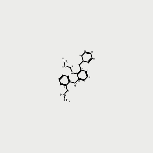 CNCc1ccccc1Pc1cccc(CC2C=CC=CC2)c1OCOC